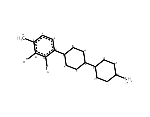 Cc1ccc(C2CCC(C3CCC(N)CC3)CC2)c(F)c1F